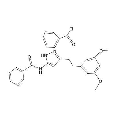 COc1cc(CCc2cc(NC(=O)c3ccccc3)[nH]n2)cc(OC)c1.O=C(Cl)c1ccccc1